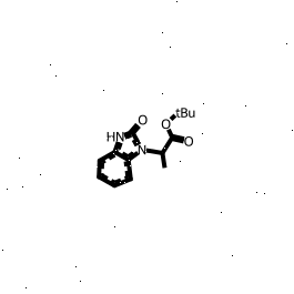 CC(C(=O)OC(C)(C)C)n1c(=O)[nH]c2ccccc21